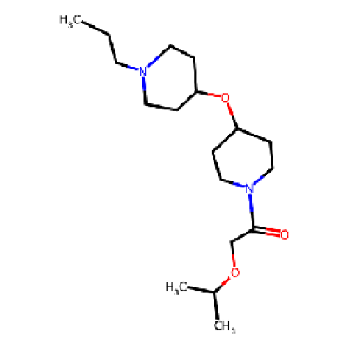 CCCN1CCC(OC2CCN(C(=O)COC(C)C)CC2)CC1